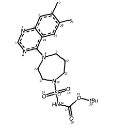 Cc1cc2ncnc(N3CCCN(S(=O)(=O)NC(=O)OC(C)(C)C)CC3)c2cc1C